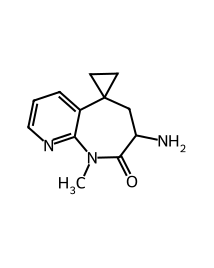 CN1C(=O)C(N)CC2(CC2)c2cccnc21